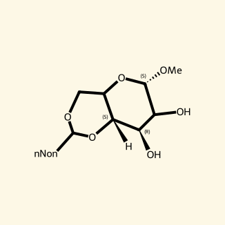 CCCCCCCCCC1OCC2O[C@H](OC)C(O)[C@@H](O)[C@@H]2O1